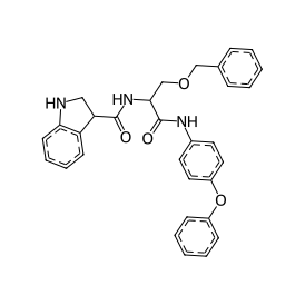 O=C(Nc1ccc(Oc2ccccc2)cc1)C(COCc1ccccc1)NC(=O)C1CNc2ccccc21